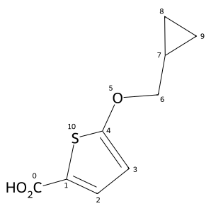 O=C(O)c1ccc(OCC2CC2)s1